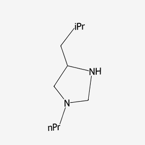 CCCN1CNC(CC(C)C)C1